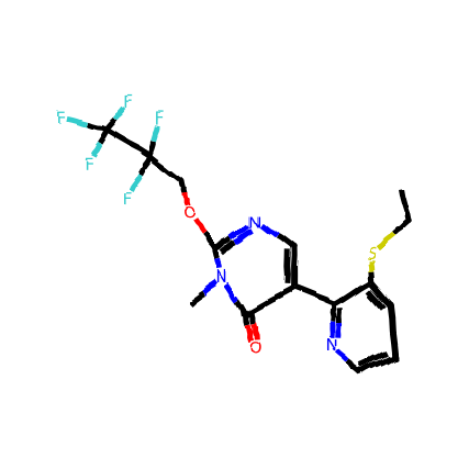 CCSc1cccnc1-c1cnc(OCC(F)(F)C(F)(F)F)n(C)c1=O